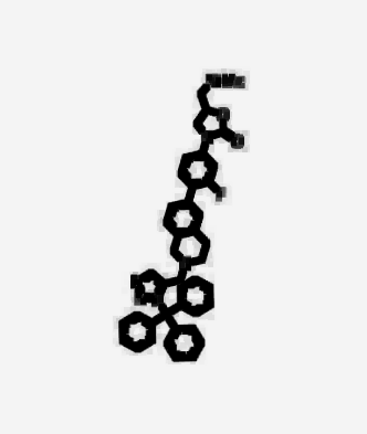 CC(=O)NCC1CN(c2ccc(-c3ccc4c(c3)CCN(Cc3cnnn3C(c3ccccc3)(c3ccccc3)c3ccccc3)C4)c(F)c2)C(=O)O1